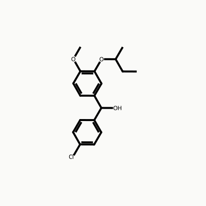 CCC(C)Oc1cc(C(O)c2ccc(Cl)cc2)ccc1OC